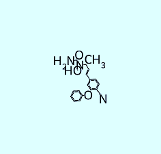 CC(C=Cc1ccc(C#N)c(Oc2ccccc2)c1)N(O)C(N)=O